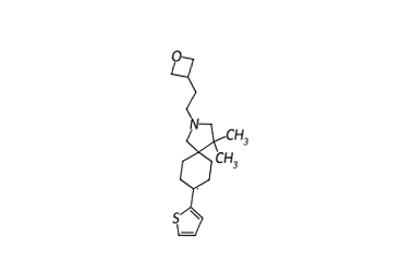 CC1(C)CN(CCC2COC2)CC12CC[C](c1cccs1)CC2